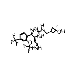 C[C@]1(O)C[C@@H](CNC2=NN=C(c3ccc(C(F)(F)F)cc3OC(F)(F)F)/C(=C/C=N)N2)C1